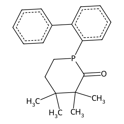 CC1(C)CCP(c2ccccc2-c2ccccc2)C(=O)C1(C)C